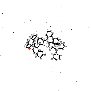 c1ccc(-c2ccccc2N(c2ccc3c(c2)-c2c(ccc4ccccc24)C32c3ccccc3Oc3ccccc32)c2ccc3c(c2)c2ccccc2n3-c2ccccc2)cc1